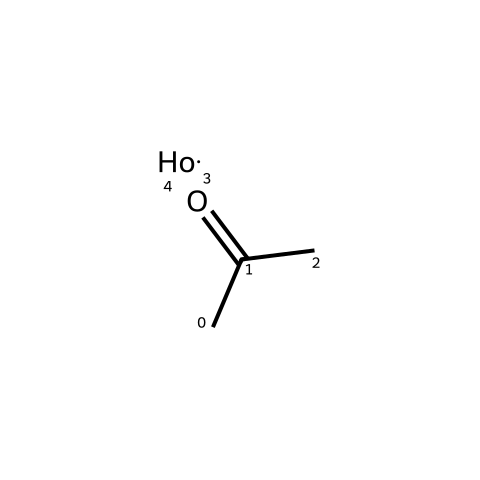 CC(C)=O.[Ho]